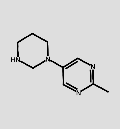 Cc1ncc(N2CCCNC2)cn1